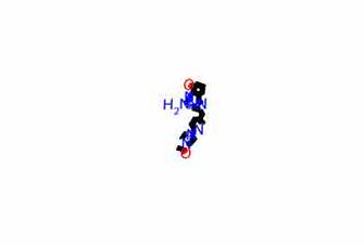 COc1cccc2c1nc(N)n1cc(Cc3ccc(N4CCN(C(C)=O)CC4)nc3)nc21